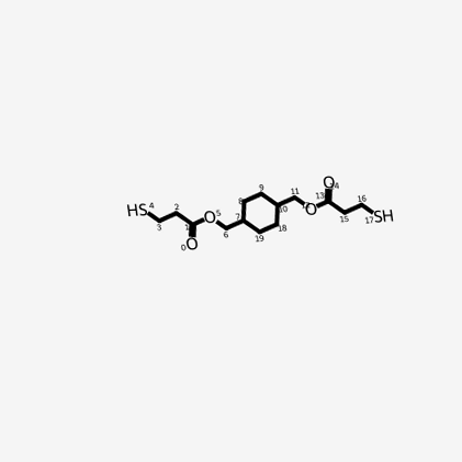 O=C(CCS)OCC1CCC(COC(=O)CCS)CC1